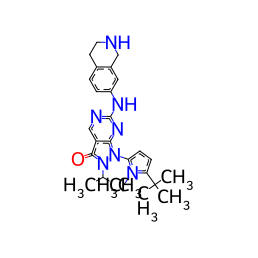 CC(C)n1c(=O)c2cnc(Nc3ccc4c(c3)CNCC4)nc2n1-c1ccc(C(C)(C)C)n1C